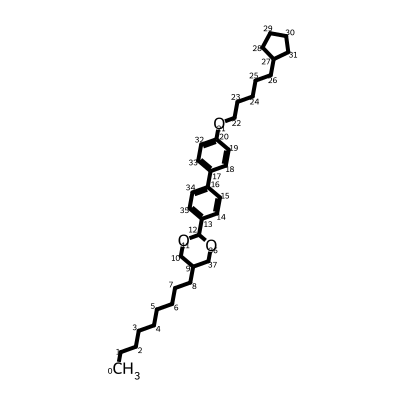 CCCCCCCCCC1COC(c2ccc(-c3ccc(OCCCCCC4CCCC4)cc3)cc2)OC1